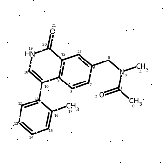 CC(=O)N(C)Cc1ccc2c(-c3ccccc3C)c[nH]c(=O)c2c1